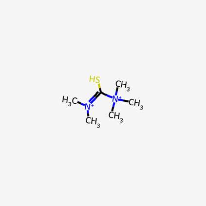 C[N+](C)=C(S)[N+](C)(C)C